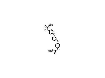 CC(C)(C)OC(=O)Nc1ccc(Oc2cccc(Oc3ccc(NC(=O)OC(C)(C)C)cc3)c2)cc1